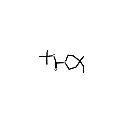 CCC1(C)CCN(C(=O)OC(C)(C)C)CC1